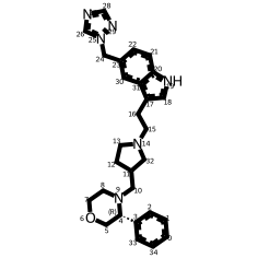 c1ccc([C@@H]2COCCN2CC2CCN(CCc3c[nH]c4ccc(Cn5cncn5)cc34)C2)cc1